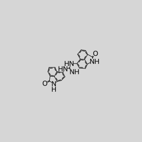 N=C(Nc1ccc2c3c(cccc13)C(=O)N2)Nc1ccc2c3c(cccc13)C(=O)N2